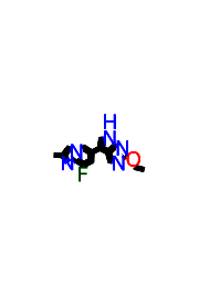 CCOc1ncc2c(-c3cc(F)c4nc(C)cn4c3)c[nH]c2n1